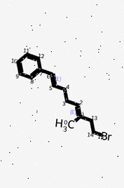 C/C(=C\CC/C=C/c1ccccc1)CCBr